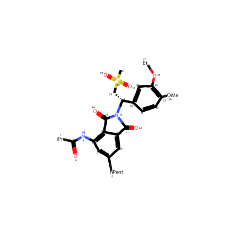 CCCCCc1cc(NC(=O)C(C)C)c2c(c1)C(=O)N([C@H](CS(C)(=O)=O)c1ccc(OC)c(OCC)c1)C2=O